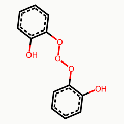 Oc1ccccc1OOOc1ccccc1O